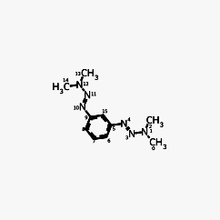 CN(C)N=Nc1cccc(N=NN(C)C)c1